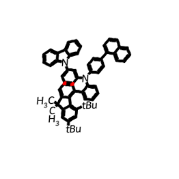 CC(C)(C)c1cc(C(C)(C)C)c2c(c1)C(C)(C)c1cccc(-c3ccccc3N(c3ccc(-c4cccc5ccccc45)cc3)c3cccc(-n4c5ccccc5c5ccccc54)c3)c1-2